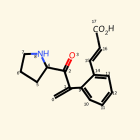 C=C(C(=O)C1CCCN1)c1ccccc1/C=C/C(=O)O